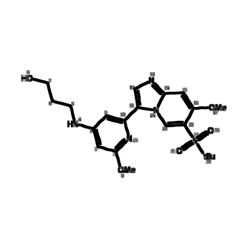 COc1cc(NCCCO)cc(-c2cnc3cc(OC)c(S(=O)(=O)C(C)(C)C)cn23)n1